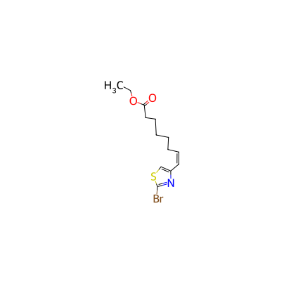 CCOC(=O)CCCCC/C=C\c1csc(Br)n1